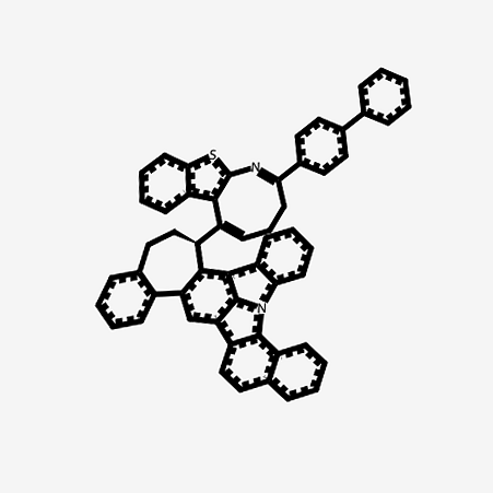 C1=C(/[C@@H]2CCc3ccccc3-c3cc4c5ccc6ccccc6c5n5c6ccccc6c(c32)c45)c2c(sc3ccccc23)/N=C(/c2ccc(-c3ccccc3)cc2)CC/1